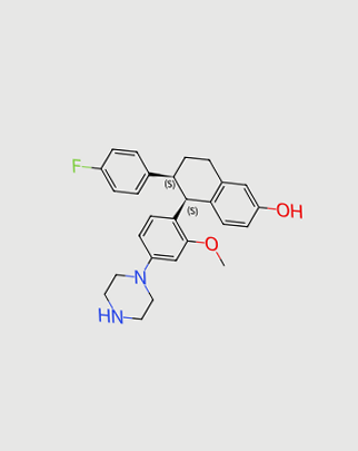 COc1cc(N2CCNCC2)ccc1[C@@H]1c2ccc(O)cc2CC[C@@H]1c1ccc(F)cc1